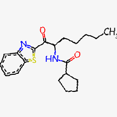 CCCCCC(NC(=O)C1CCCC1)C(=O)c1nc2ccccc2s1